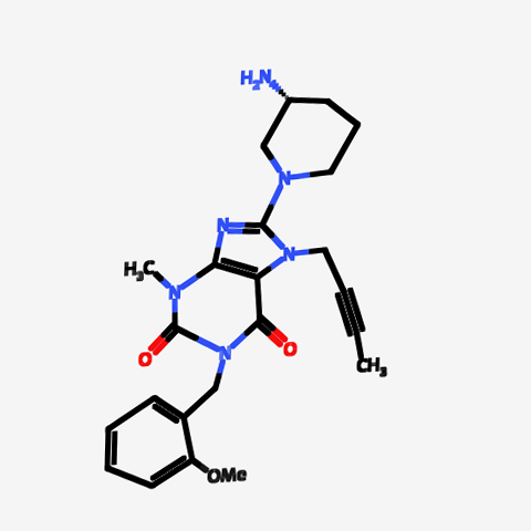 CC#CCn1c(N2CCC[C@@H](N)C2)nc2c1c(=O)n(Cc1ccccc1OC)c(=O)n2C